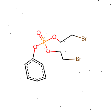 O=P(OCCBr)(OCCBr)Oc1ccccc1